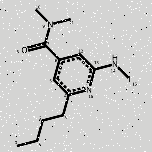 CCCCc1cc(C(=O)N(C)C)cc(NI)n1